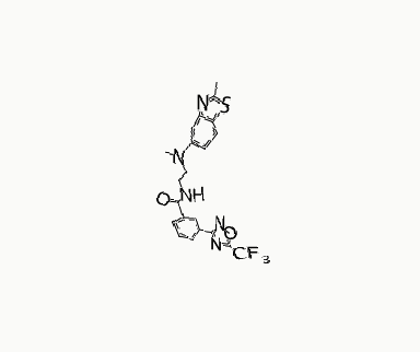 Cc1nc2cc(N(C)CCNC(=O)c3cccc(-c4noc(C(F)(F)F)n4)c3)ccc2s1